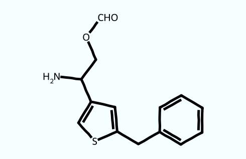 NC(COC=O)c1csc(Cc2ccccc2)c1